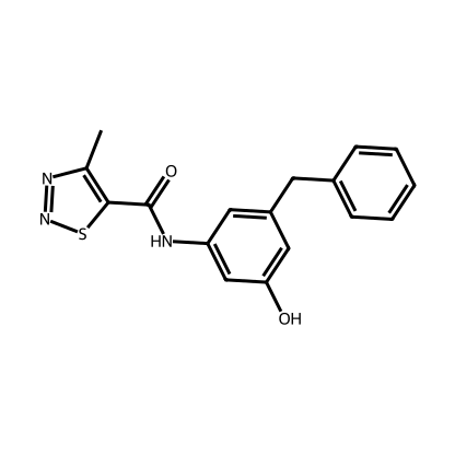 Cc1nnsc1C(=O)Nc1cc(O)cc(Cc2ccccc2)c1